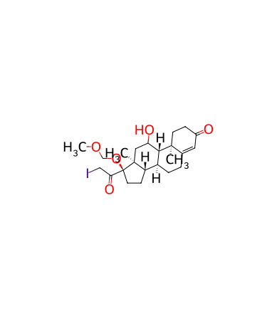 COCO[C@]1(C(=O)CI)CC[C@H]2[C@@H]3CCC4=CC(=O)CC[C@]4(C)[C@H]3C(O)C[C@@]21C